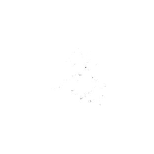 COc1ccc(C(CC(C)=O)P2(=O)N(c3ccccc3)CCN2c2ccccc2)cc1